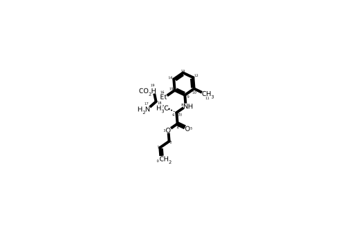 C=CCOC(=O)[C@H](C)Nc1c(C)cccc1CC.NCC(=O)O